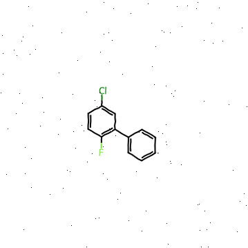 Fc1ccc(Cl)cc1-c1cc[c]cc1